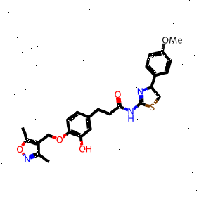 COc1ccc(C2CSC(NC(=O)CCc3ccc(OCc4c(C)noc4C)c(O)c3)=N2)cc1